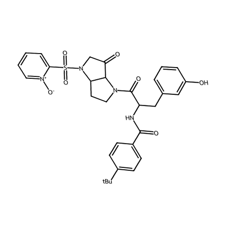 CC(C)(C)c1ccc(C(=O)NC(Cc2cccc(O)c2)C(=O)N2CCC3C2C(=O)CN3S(=O)(=O)c2cccc[n+]2[O-])cc1